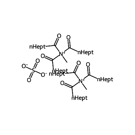 CCCCCCCC(=O)[N+](C)(C(=O)CCCCCCC)C(=O)CCCCCCC.CCCCCCCC(=O)[N+](C)(C(=O)CCCCCCC)C(=O)CCCCCCC.O=S(=O)([O-])[O-]